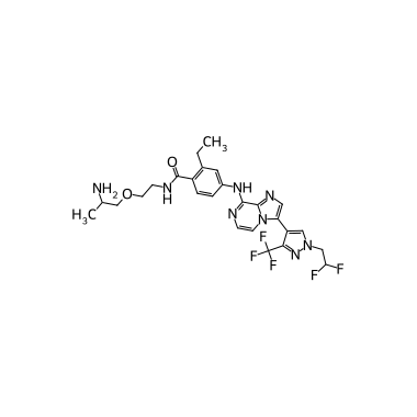 CCc1cc(Nc2nccn3c(-c4cn(CC(F)F)nc4C(F)(F)F)cnc23)ccc1C(=O)NCCOCC(C)N